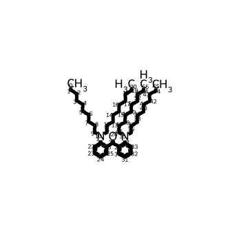 CCCCCCCCCCN(CCCCCCCCCC)c1ccccc1C(=O)c1ccccc1N(CCCCCCCCCC)CCCCCCCCCC